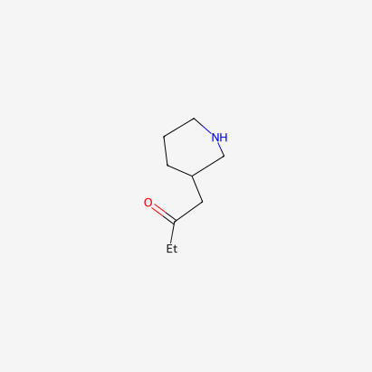 CCC(=O)CC1CCCNC1